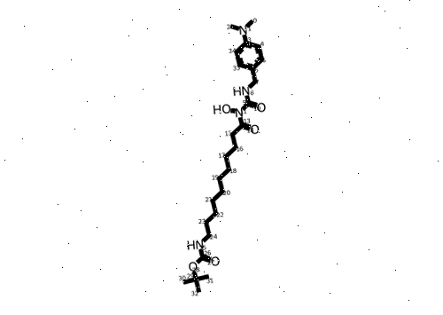 CN(C)c1ccc(CNC(=O)N(O)C(=O)CCCCC[CH]CCCCNC(=O)OC(C)(C)C)cc1